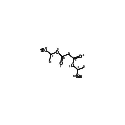 CC(OC(=O)CC(=O)OC(C)C(C)(C)C)C(C)(C)C